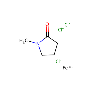 CN1CCCC1=O.[Cl-].[Cl-].[Cl-].[Fe+3]